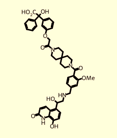 COc1cc(CNCC(O)c2ccc(O)c3[nH]c(=O)ccc23)ccc1C(=O)N1CCC2(CCN(C(=O)COc3cccc(C(O)(C(=O)O)c4ccccc4)c3)CC2)CC1